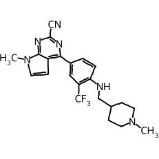 CN1CCC(CNc2ccc(-c3nc(C#N)nc4c3ccn4C)cc2C(F)(F)F)CC1